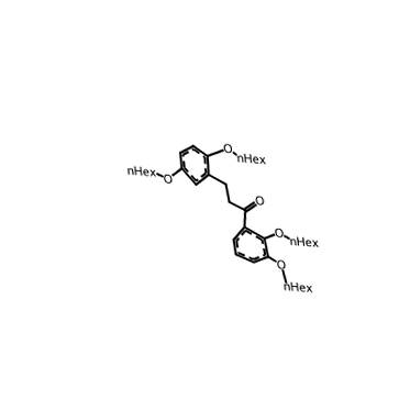 CCCCCCOc1ccc(OCCCCCC)c(CCC(=O)c2cccc(OCCCCCC)c2OCCCCCC)c1